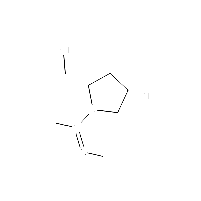 [Na+].[O-]/N=[N+](/[O-])N1CCC[C@H]1CO